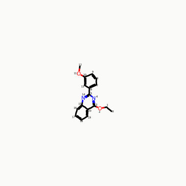 CCOc1nc(-c2cccc(OC)c2)nc2ccccc12